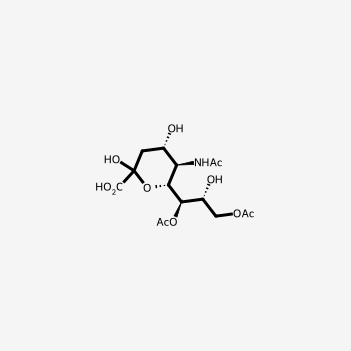 CC(=O)N[C@H]1[C@H]([C@H](OC(C)=O)[C@H](O)COC(C)=O)OC(O)(C(=O)O)C[C@@H]1O